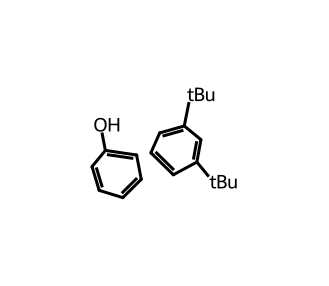 CC(C)(C)c1cccc(C(C)(C)C)c1.Oc1ccccc1